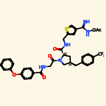 CC(=O)ONC(=N)c1csc(CNC(=O)[C@@H]2C[C@@H](Cc3ccc(C(F)(F)F)cc3)CN2C(=O)CNC(=O)c2ccc(Oc3ccccc3)cc2)c1